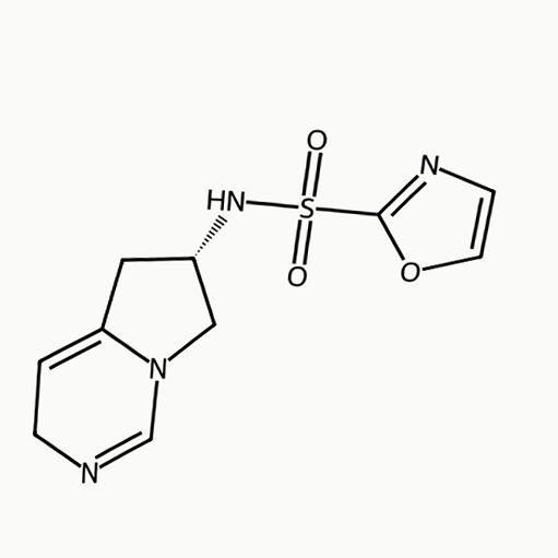 O=S(=O)(N[C@H]1CC2=CCN=CN2C1)c1ncco1